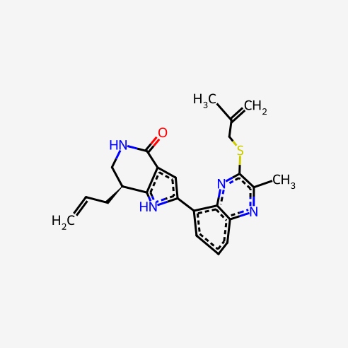 C=CC[C@H]1CNC(=O)c2cc(-c3cccc4nc(C)c(SCC(=C)C)nc34)[nH]c21